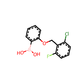 OB(O)c1ccccc1OCc1c(F)cccc1Cl